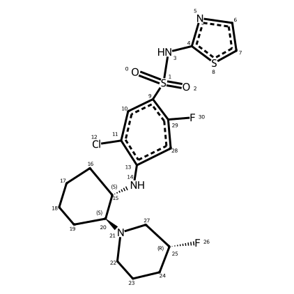 O=S(=O)(Nc1nccs1)c1cc(Cl)c(N[C@H]2CCCC[C@@H]2N2CCC[C@@H](F)C2)cc1F